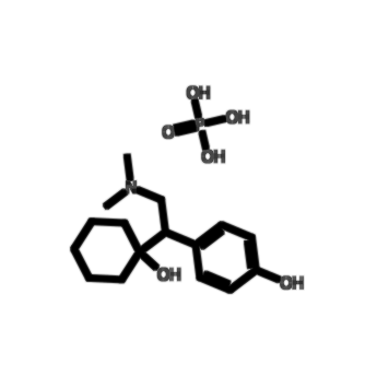 CN(C)CC(c1ccc(O)cc1)C1(O)CCCCC1.O=P(O)(O)O